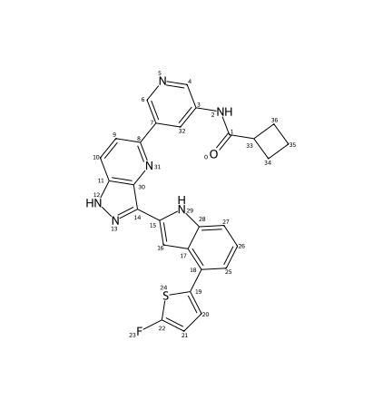 O=C(Nc1cncc(-c2ccc3[nH]nc(-c4cc5c(-c6ccc(F)s6)cccc5[nH]4)c3n2)c1)C1CCC1